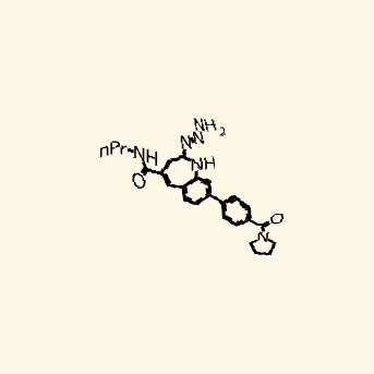 CCCNC(=O)C1=Cc2ccc(-c3ccc(C(=O)N4CCCC4)cc3)cc2NC(N=NN)C1